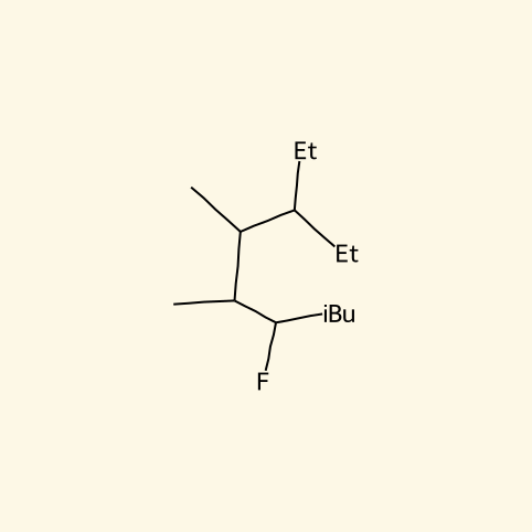 CCC(C)C(F)C(C)C(C)C(CC)CC